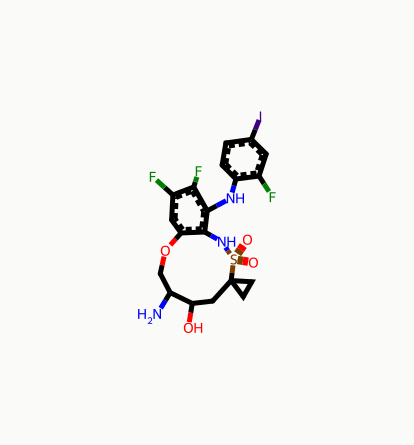 NC1COc2cc(F)c(F)c(Nc3ccc(I)cc3F)c2NS(=O)(=O)C2(CC2)CC1O